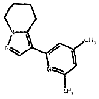 Cc1cc(C)nc(-c2cnn3c2CCCC3)c1